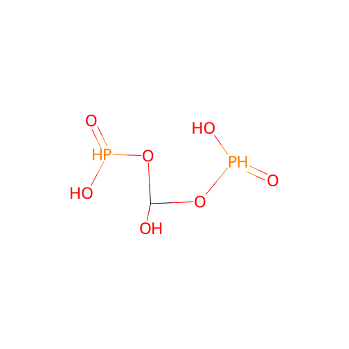 O=[PH](O)OC(O)O[PH](=O)O